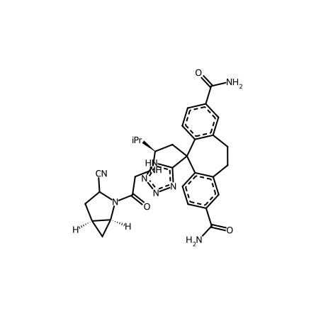 CC(C)[C@@H](CC1(c2nnn[nH]2)c2ccc(C(N)=O)cc2CCc2cc(C(N)=O)ccc21)NCC(=O)N1C(C#N)C[C@@H]2C[C@@H]21